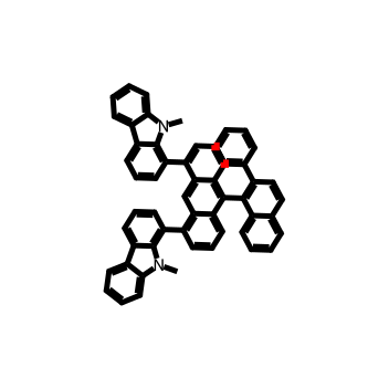 Cn1c2ccccc2c2cccc(-c3cccc4c(-c5c(-c6ccccc6)ccc6ccccc56)c5cccc(-c6cccc7c8ccccc8n(C)c67)c5cc34)c21